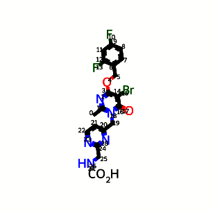 Cc1nc(OCc2ccc(F)cc2F)c(Br)c(=O)n1Cc1ccnc(CNC(=O)O)n1